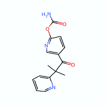 CC(C)(C(=O)c1ccc(OC(N)=O)nc1)c1ccccn1